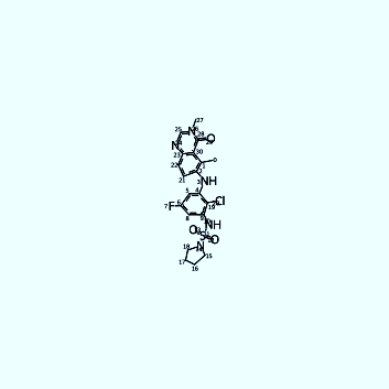 Cc1c(Nc2cc(F)cc(NS(=O)(=O)N3CCCC3)c2Cl)ccc2ncn(C)c(=O)c12